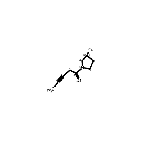 CC#CCC(=O)N1CC[C@H](F)C1